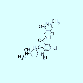 CCN(c1cc(Cl)cc(C(=O)NCc2c(Cl)cc(C)[nH]c2=O)c1C)[C@H]1CC[C@H](N(C)C)CC1